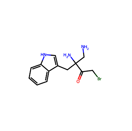 NCC(N)(Cc1c[nH]c2ccccc12)C(=O)CBr